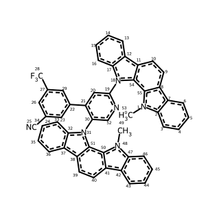 Cn1c2ccccc2c2ccc3c4ccccc4n(-c4cc(-c5cc(C#N)cc(C(F)(F)F)c5)c(-n5c6ccccc6c6ccc7c8ccccc8n(C)c7c65)cn4)c3c21